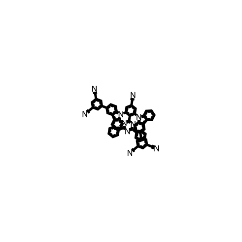 N#Cc1cc(C#N)cc(-c2ccc3c(c2)c2ccccc2n3-c2cc(C#N)cc(-n3c4ccccc4c4cc(-c5cc(C#N)cc(C#N)c5)ccc43)c2-c2nc(-c3ccccc3)nc(-c3ccccc3)n2)c1